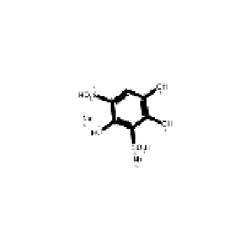 O=S(=O)(O)c1cc(O)c(O)c(S(=O)(=O)O)c1O.[Na].[Na]